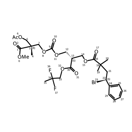 COC(=O)[C@](C)(COC(C)=O)COC(=O)OC[C@H](COC(=O)C(C)(C)C[C@H](Br)c1ccccc1)C(=O)OCC(C)(F)F